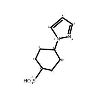 O=S(=O)(O)C1CCC(n2cccn2)CC1